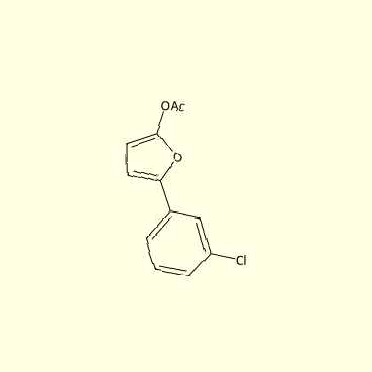 CC(=O)Oc1ccc(-c2cccc(Cl)c2)o1